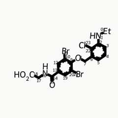 CCNc1cccc(COc2c(Br)cc(C(=O)NCC(=O)O)cc2Br)c1Cl